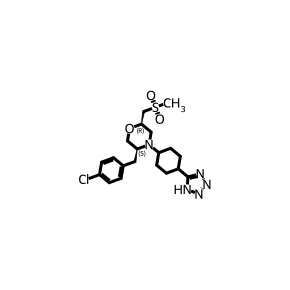 CS(=O)(=O)C[C@H]1CN(C2CCC(c3nnn[nH]3)CC2)[C@@H](Cc2ccc(Cl)cc2)CO1